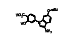 CCCCOc1ccc2c(N)cn(-c3ccc(C(=O)O)c(O)c3)c2c1